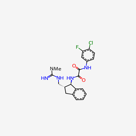 CNC(=N)NC[C@H]1Cc2ccccc2[C@@H]1NC(=O)C(=O)Nc1ccc(Cl)c(F)c1